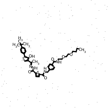 CCCCOCCOCCNC(=O)c1ccc(CNC(=O)c2ccc(C(=O)N/N=C(\C)c3csc(-c4ccc(C(C)(C)C)cc4)c3O)s2)cc1